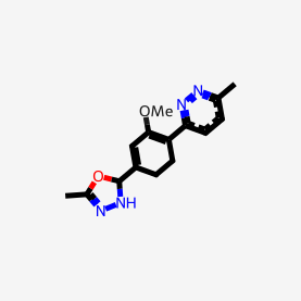 COC1=C(c2ccc(C)nn2)CCC(C2NN=C(C)O2)=C1